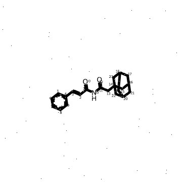 O=C(/C=C/c1ccccc1)NC(=O)CC12CC3CC(CC(C3)C1)C2